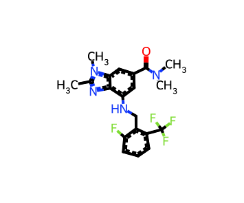 Cc1nc2c(NCc3c(F)cccc3C(F)(F)F)cc(C(=O)N(C)C)cc2n1C